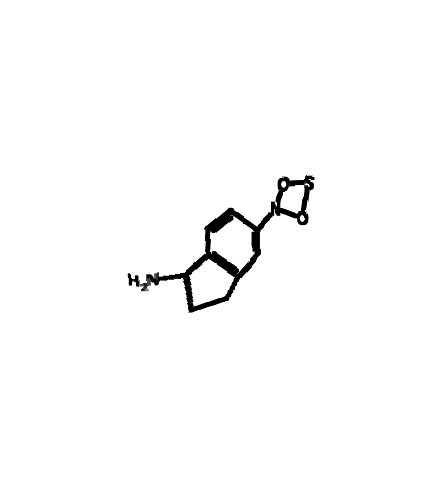 NC1CCc2cc(N3OSO3)ccc21